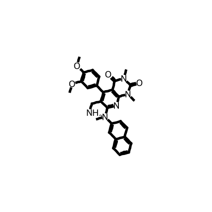 COc1ccc(-c2c(CN)c(N(C)c3ccc4ccccc4c3)nc3c2c(=O)n(C)c(=O)n3C)cc1OC